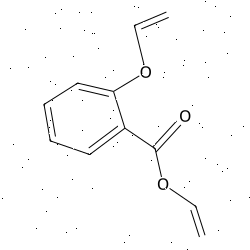 C=COC(=O)c1ccccc1OC=C